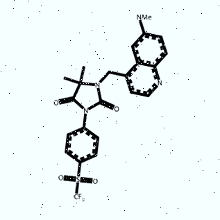 CNc1ccc2nccc(CN3C(=O)N(c4ccc(S(=O)(=O)C(F)(F)F)cc4)C(=O)C3(C)C)c2c1